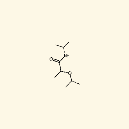 CC(C)NC(=O)C(C)OC(C)C